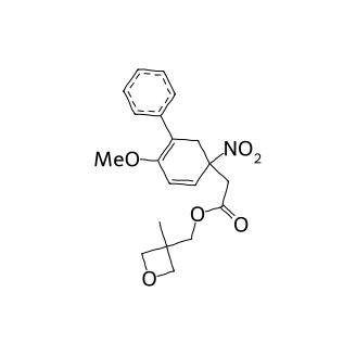 COC1=C(c2ccccc2)CC(CC(=O)OCC2(C)COC2)([N+](=O)[O-])C=C1